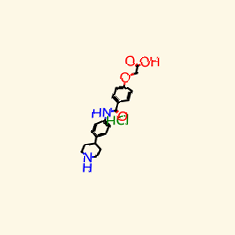 Cl.O=C(O)COc1ccc(C(=O)Nc2ccc(C3CCNCC3)cc2)cc1